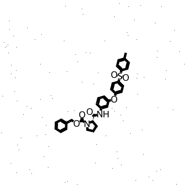 Cc1ccc(S(=O)(=O)c2ccc(Oc3cccc(NC(=O)[C@@H]4CCCN4C(=O)OCc4ccccc4)c3)cc2)cc1